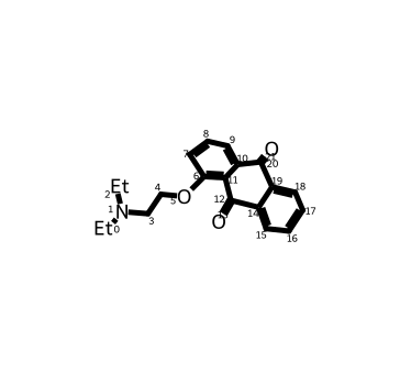 CCN(CC)CCOc1cccc2c1C(=O)c1ccccc1C2=O